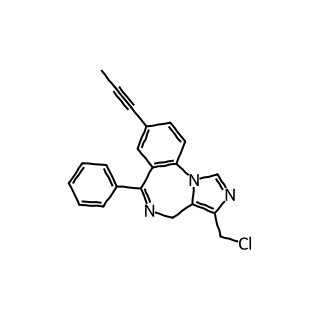 CC#Cc1ccc2c(c1)C(c1ccccc1)=NCc1c(CCl)ncn1-2